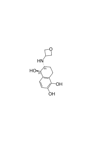 Oc1ccc2c(c1O)CC[C@@H](NC1COC1)[C@@H]2O